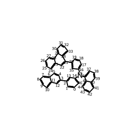 c1cc(-c2ccc3ccccc3c2)cc(N(c2cccc(-c3cc4ccccc4c4ccccc34)c2)c2cccc3ccccc23)c1